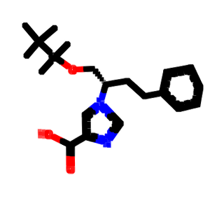 CC(C)(C)[Si](C)(C)OC[C@H](CCc1ccccc1)n1cnc(C(=O)O)c1